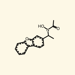 CC(=O)N(O)C(C)c1ccc2c(c1)oc1ccccc12